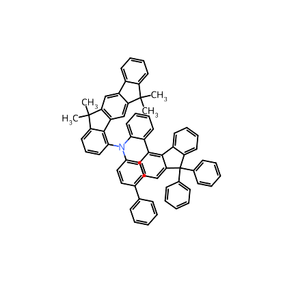 CC1(C)c2ccccc2-c2cc3c(cc21)-c1c(N(c2ccc(-c4ccccc4)cc2)c2ccccc2-c2cccc4c2-c2ccccc2C4(c2ccccc2)c2ccccc2)cccc1C3(C)C